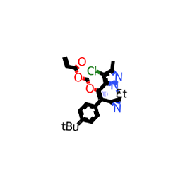 C=CC(=O)OCO/C(=C(\c1ccc(C(C)(C)C)cc1)C1C=N1)c1c(Cl)c(C)nn1CC